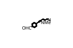 CN/N=C\C=C\C#Cc1ccc(C=O)cc1